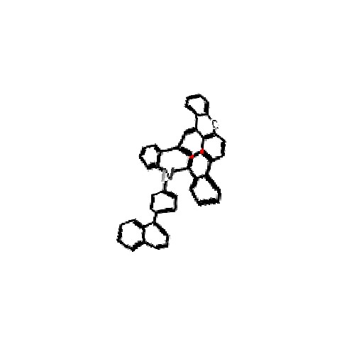 c1ccc2c(c1)Oc1cccc3cc(-c4ccccc4N(c4ccc(-c5cccc6ccccc56)cc4)c4cccc5ccccc45)cc-2c13